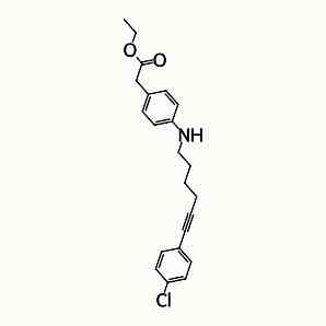 CCOC(=O)Cc1ccc(NCCCCC#Cc2ccc(Cl)cc2)cc1